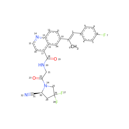 C/C(=C\c1ccc(F)cc1)c1ccc2nccc(C(=O)NCC(=O)N3CC(F)(F)C[C@H]3C#N)c2c1